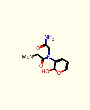 CNCC(=O)N(CC(N)=O)C1=CC=COC1O